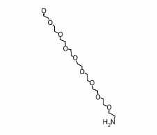 NCCOCCOCCOCCOCCOCCOCCOCCOCC=O